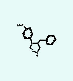 COc1ccc(N2CCNCC2Cc2ccccc2)cc1